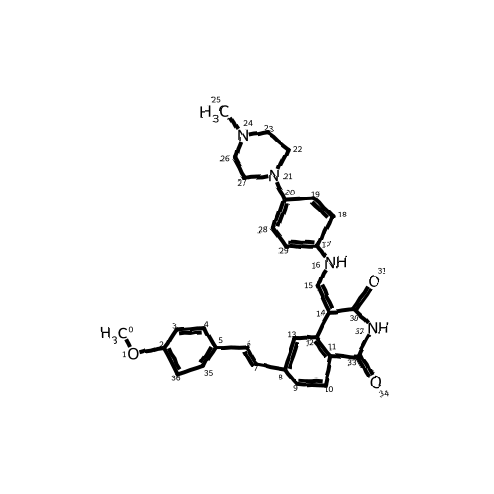 COc1ccc(C=Cc2ccc3c(c2)C(=CNc2ccc(N4CCN(C)CC4)cc2)C(=O)NC3=O)cc1